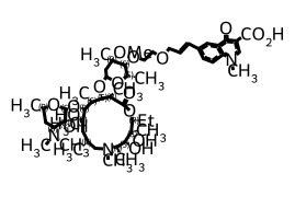 CC[C@H]1OC(=O)[C@H](C)[C@@H](OC2C[C@@](C)(OC)[C@@H](OCCOCC=Cc3ccc4c(c3)c(=O)c(C(=O)O)cn4C)[C@H](C)O2)[C@H](C)[C@@H](O[C@@H]2O[C@H](C)C[C@H](N(C)C)[C@H]2O)[C@](C)(O)C[C@@H](C)CN(C)[C@H](C)[C@H](O)[C@]1(C)O